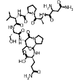 CCC(C)[C@H](NC(=O)[C@H](CO)NC(=O)[C@@H](NC(=O)[C@@H]1CCCN1C(=O)[C@H](C)NC(=O)C(N)CC(N)=O)C(C)C)C(=O)N1CCC[C@H]1C(=O)N[C@@H](CCC(N)=O)C(=O)O